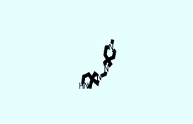 CN1CCC2(CC1)CN(CN1CC3(CCCNC3)C1)C2